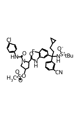 CC(C)(C)[S@@+]([O-])NC(CCC1CC1)(c1cccc(C#N)c1)c1ccc(F)c(NC(=O)C2CC(OS(C)(=O)=O)CN2C(=O)Nc2ccc(Cl)cc2)c1